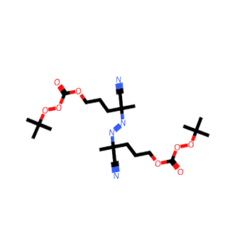 CC(C#N)(CCCOC(=O)OOC(C)(C)C)/N=N/C(C)(C#N)CCCOC(=O)OOC(C)(C)C